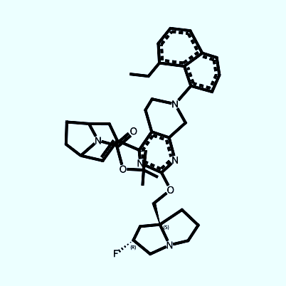 CCc1cccc2cccc(N3CCc4c(nc(OC[C@@]56CCCN5C[C@H](F)C6)nc4C4=CC5CCC(C4)N5C(=O)OC(C)(C)C)C3)c12